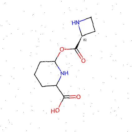 O=C(O)C1CCCC(OC(=O)[C@@H]2CCN2)N1